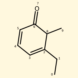 CCC1=CC=CC(=O)C1C